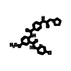 COc1ccc(NC(=O)c2ccc(NC(=O)CN3CCCC3)cc2)c(C(=O)Nc2ccc(Cl)cn2)c1